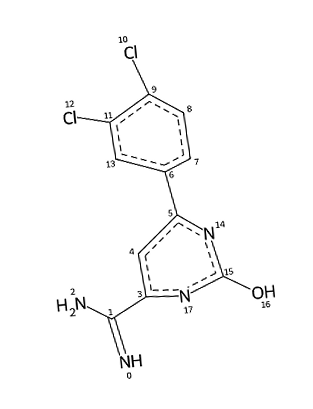 N=C(N)c1cc(-c2ccc(Cl)c(Cl)c2)nc(O)n1